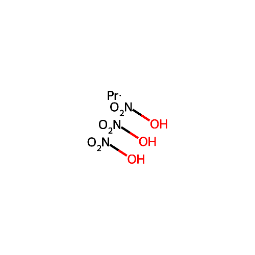 O=[N+]([O-])O.O=[N+]([O-])O.O=[N+]([O-])O.[Pr]